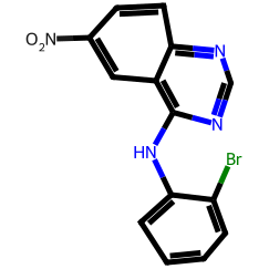 O=[N+]([O-])c1ccc2ncnc(Nc3ccccc3Br)c2c1